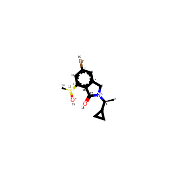 C[C@@H](C1CC1)N1Cc2cc(Br)cc([S@+](C)[O-])c2C1=O